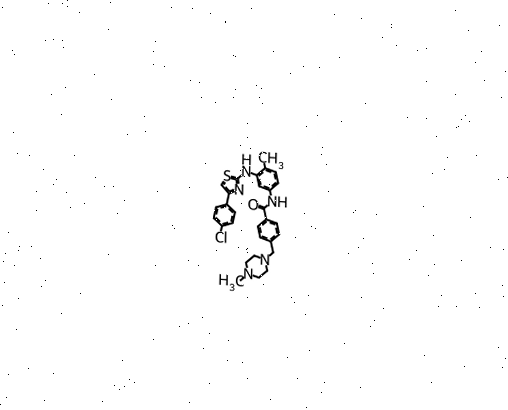 Cc1ccc(NC(=O)c2ccc(CN3CCN(C)CC3)cc2)cc1Nc1nc(-c2ccc(Cl)cc2)cs1